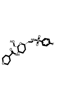 O=C(N[C@H]1CC[C@@H](CCNS(=O)(=O)c2ccc(F)cc2)O[C@H]1CO)C1CCOCC1